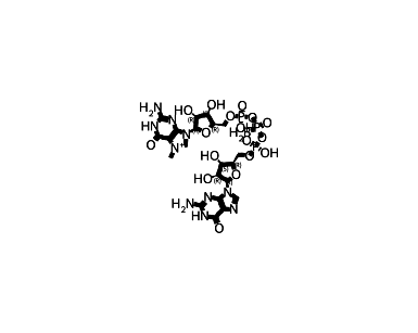 BP(=O)(OP(=O)(O)OC[C@H]1O[C@@H](n2cnc3c(=O)[nH]c(N)nc32)[C@H](O)[C@@H]1O)OP(=O)(O)OC[C@H]1O[C@@H](n2c[n+](C)c3c(=O)[nH]c(N)nc32)[C@H](O)[C@@H]1O